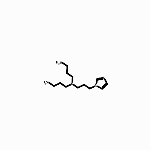 [SiH3]CCCN(CCC[SiH3])CCCn1ccnc1